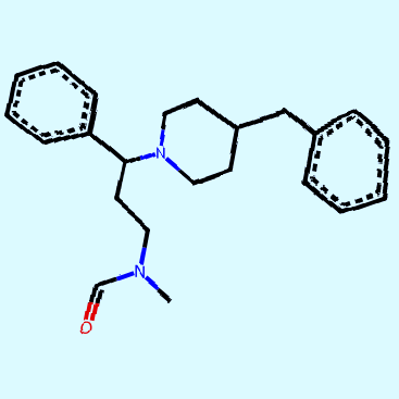 CN(C=O)CCC(c1ccccc1)N1CCC(Cc2ccccc2)CC1